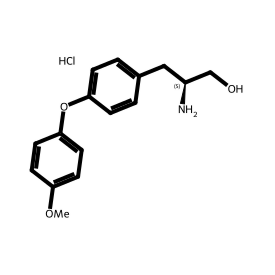 COc1ccc(Oc2ccc(C[C@H](N)CO)cc2)cc1.Cl